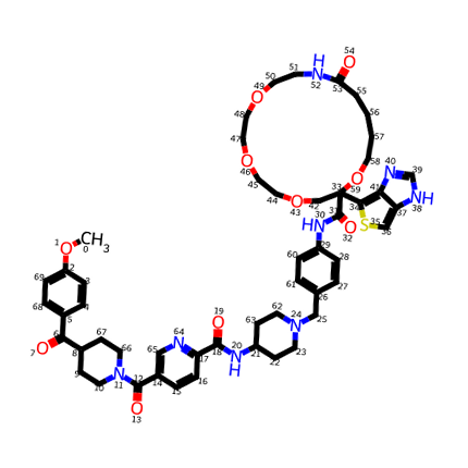 COc1ccc(C(=O)C2CCN(C(=O)c3ccc(C(=O)NC4CCN(Cc5ccc(NC(=O)C6(c7scc8[nH]cnc78)COCCOCCOCCNC(=O)CCCCO6)cc5)CC4)nc3)CC2)cc1